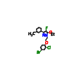 CCOc1c(F)c(-c2cccc(C)c2)nn1CCOc1ccc(Br)cc1Cl